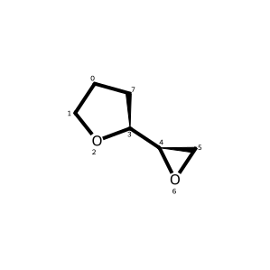 C1CO[C@H]([C@H]2CO2)C1